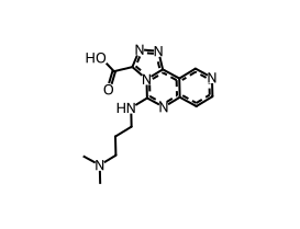 CN(C)CCCNc1nc2ccncc2c2nnc(C(=O)O)n12